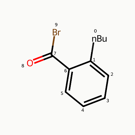 CCCCc1ccccc1C(=O)Br